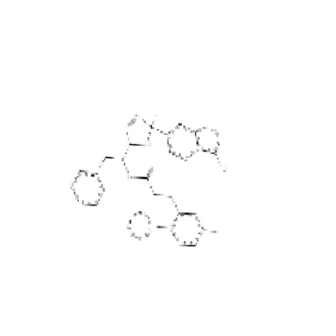 Nc1noc2cc(C3(Cl)C=NC([C@H](Cc4ccccc4)NC(=O)CCc4cc(Cl)ccc4-n4cnnn4)N3)ccc12